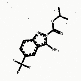 CC(C)OC(=O)n1nc2ccc(C(F)(F)F)cc2c1N